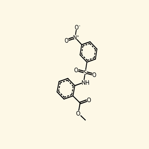 COC(=O)c1ccccc1NS(=O)(=O)c1cccc([N+](=O)[O-])c1